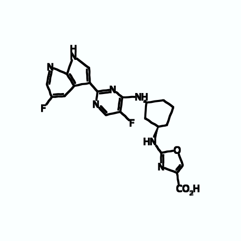 O=C(O)c1coc(N[C@@H]2CCC[C@H](Nc3nc(-c4c[nH]c5ncc(F)cc45)ncc3F)C2)n1